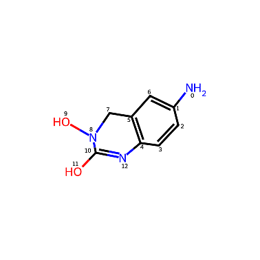 Nc1ccc2c(c1)CN(O)C(O)=N2